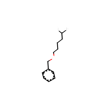 [2H]C([2H])CCCCOCc1ccccc1